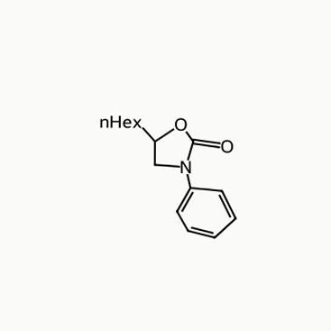 CCCCCCC1CN(c2ccccc2)C(=O)O1